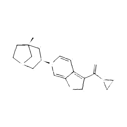 O=C(C1=C2C=CN([C@@H]3C[C@H]4CCN(C4)C3)C=C2OC1)N1CC1